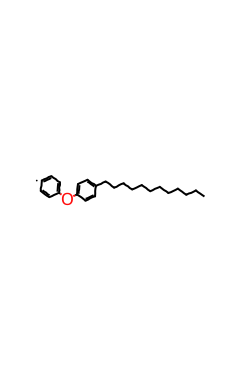 CCCCCCCCCCCCc1ccc(Oc2cc[c]cc2)cc1